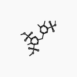 COS(=O)(=O)c1cc(Cc2cc(S(=O)(=O)OC)c(C)c(S(=O)(=O)OC)c2)cc(C)c1C